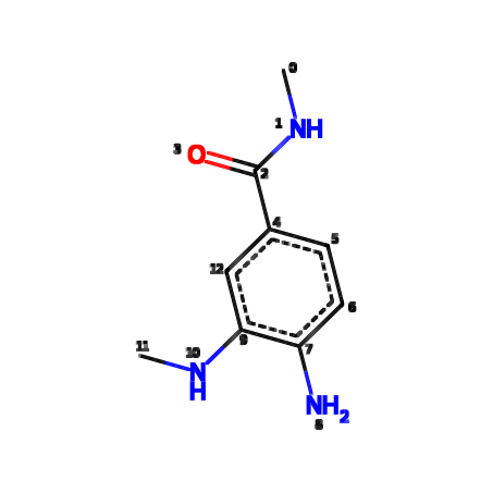 CNC(=O)c1ccc(N)c(NC)c1